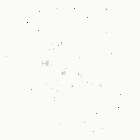 CCN1C[C@@H](NC(C)C)C2(CC2)C1